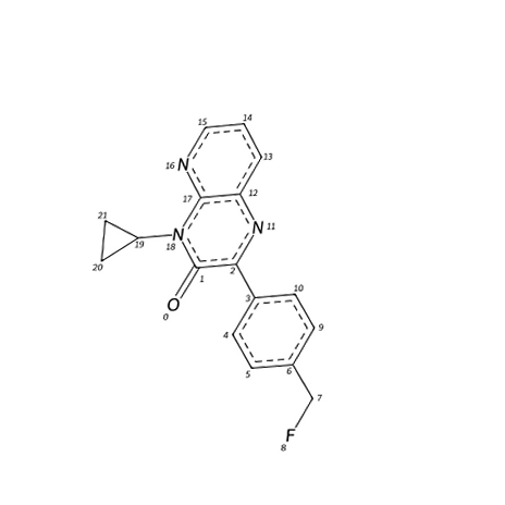 O=c1c(-c2ccc(CF)cc2)nc2cccnc2n1C1CC1